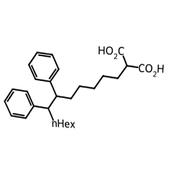 CCCCCCC(c1ccccc1)C(CCCCCC(C(=O)O)C(=O)O)c1ccccc1